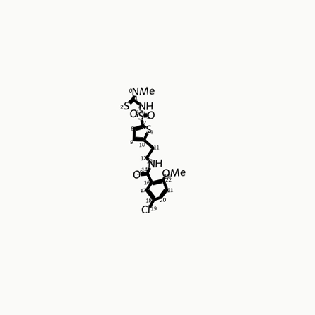 CNC(=S)NS(=O)(=O)c1ccc(CCNC(=O)c2cc(Cl)ccc2OC)s1